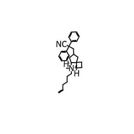 C=CCCCC[N+]1(C)[C@H]2CCC23CC(CC(C#N)(c2ccccc2)c2ccccc2)C[C@@H]31